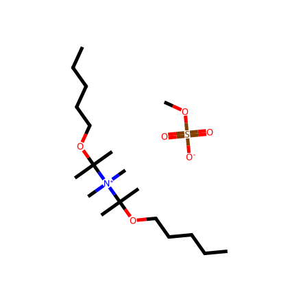 CCCCCOC(C)(C)[N+](C)(C)C(C)(C)OCCCCC.COS(=O)(=O)[O-]